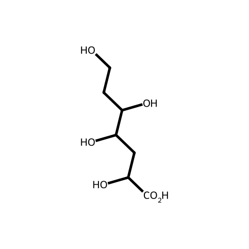 O=C(O)C(O)CC(O)C(O)CCO